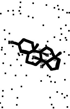 C[C@@]12C=CC[C@H]1[C@@H]1CCC3=CC(O)CC[C@]3(C)[C@H]1CC2